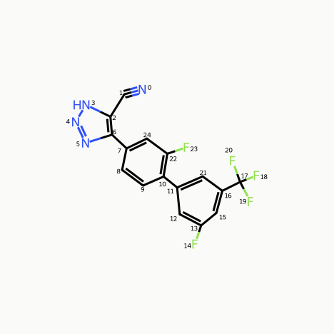 N#Cc1[nH]nnc1-c1ccc(-c2cc(F)cc(C(F)(F)F)c2)c(F)c1